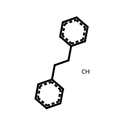 [CH].c1ccc(CCc2ccccc2)cc1